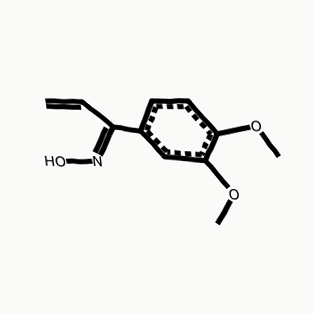 C=CC(=NO)c1ccc(OC)c(OC)c1